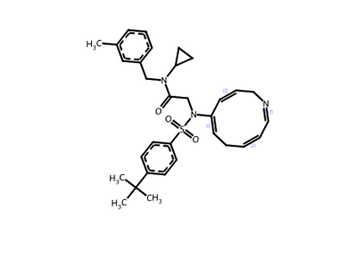 Cc1cccc(CN(C(=O)CN(C2=C/C/C=C\C=N/C/C=C\2)S(=O)(=O)c2ccc(C(C)(C)C)cc2)C2CC2)c1